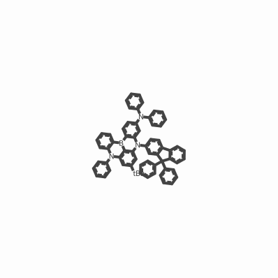 CC(C)(C)c1cc2c3c(c1)N(c1ccc4c(c1)C(c1ccccc1)(c1ccccc1)c1ccccc1-4)c1cc(N(c4ccccc4)c4ccccc4)ccc1B3c1ccccc1N2c1ccccc1